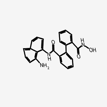 Nc1cccc2cccc(NC(=O)c3ccccc3-c3ccccc3C(=O)NO)c12